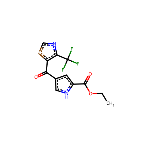 CCOC(=O)c1cc(C(=O)c2scnc2C(F)(F)F)c[nH]1